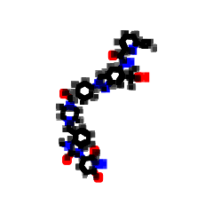 Cn1c(=O)n(C2CCC(=O)NC2=O)c2cccc(CN3CCN(C(=O)[C@H]4CC[C@H](n5cc6cc(NC(=O)c7cccc(C(F)(F)F)n7)c(C(C)(C)O)cc6n5)CC4)CC3)c21